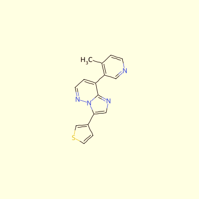 Cc1ccncc1-c1ccnn2c(-c3ccsc3)cnc12